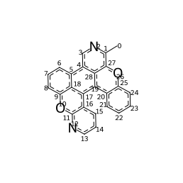 Cc1ncc2c3cccc4oc5ncccc5c(c43)c3c4ccccc4oc1c23